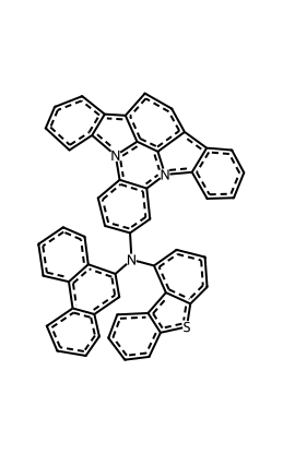 c1ccc2c(c1)cc(N(c1ccc3c(c1)n1c4ccccc4c4ccc5c6ccccc6n3c5c41)c1cccc3sc4ccccc4c13)c1ccccc12